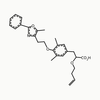 C=CCCOC(Cc1cc(C)c(OCCc2nc(-c3ccccc3)oc2C)c(C)c1)C(=O)O